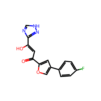 O=C(C=C(O)c1nc[nH]n1)c1cc(-c2ccc(F)cc2)co1